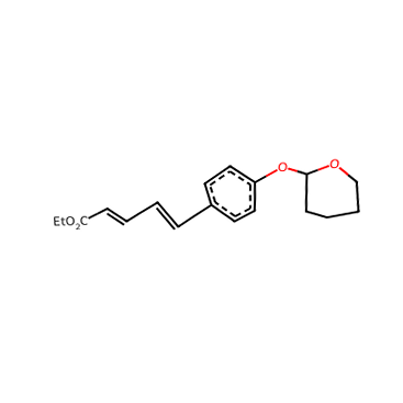 CCOC(=O)/C=C/C=C/c1ccc(OC2CCCCO2)cc1